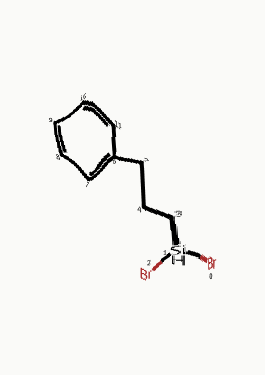 Br[SiH](Br)CCCc1ccccc1